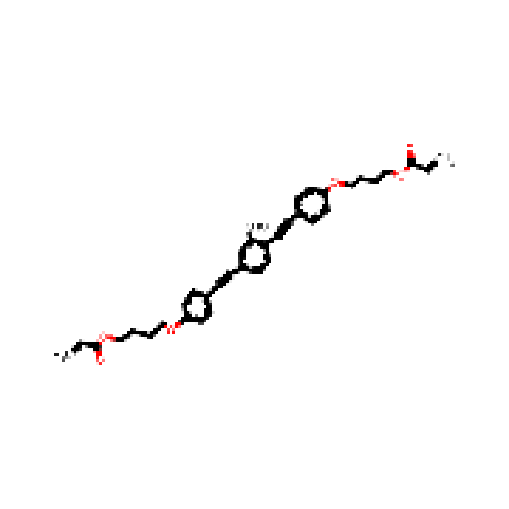 C=CC(=O)OCCCCOc1ccc(C#Cc2ccc(C#Cc3ccc(OCCCCOC(=O)C=C)cc3)c(C=O)c2)cc1